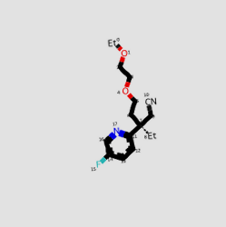 CCOCCOCC[C@@](CC)(CC#N)c1ccc(F)cn1